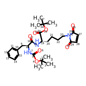 CC(C)(C)OC(=O)N[C@@H](Cc1ccccc1)C(=O)N[C@@H](CCCCN1C(=O)C=CC1=O)C(=O)OC(C)(C)C